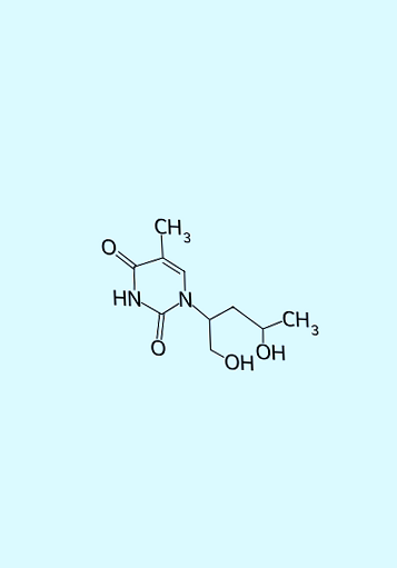 Cc1cn(C(CO)CC(C)O)c(=O)[nH]c1=O